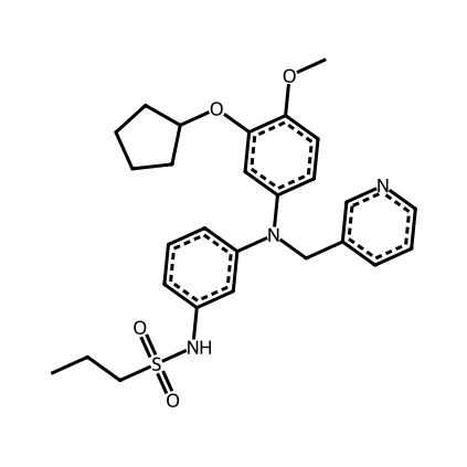 CCCS(=O)(=O)Nc1cccc(N(Cc2cccnc2)c2ccc(OC)c(OC3CCCC3)c2)c1